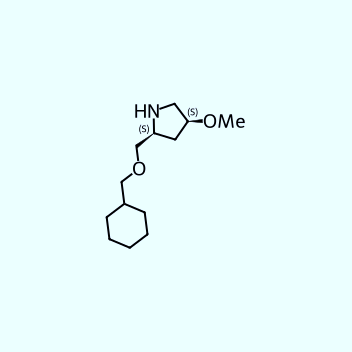 CO[C@@H]1CN[C@H](COCC2CCCCC2)C1